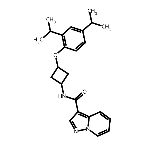 CC(C)c1ccc(OC2CC(NC(=O)c3cnn4ccccc34)C2)c(C(C)C)c1